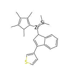 CC1=C(C)C(C)[C]([Zr]([CH]2C=C(c3ccsc3)c3ccccc32)=[Si](C)C)=C1C